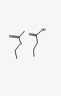 CCCC(=O)O.CCOC(C)=O